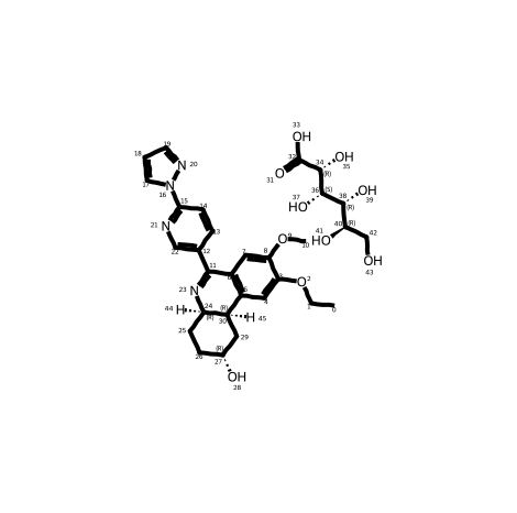 CCOc1cc2c(cc1OC)C(c1ccc(-n3cccn3)nc1)=N[C@@H]1CC[C@@H](O)C[C@H]21.O=C(O)[C@H](O)[C@@H](O)[C@H](O)[C@H](O)CO